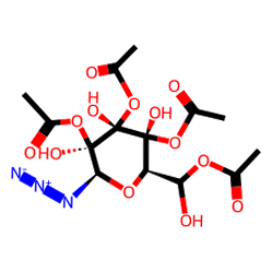 CC(=O)OC(O)[C@H]1O[C@@H](N=[N+]=[N-])[C@@](O)(OC(C)=O)[C@](O)(OC(C)=O)[C@]1(O)OC(C)=O